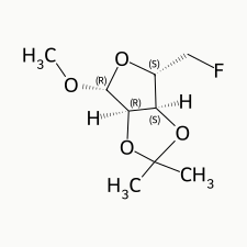 CO[C@@H]1O[C@H](CF)[C@H]2OC(C)(C)O[C@@H]12